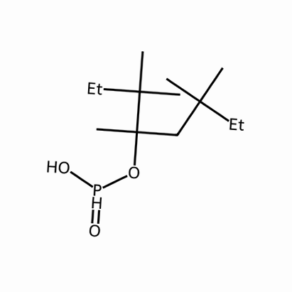 CCC(C)(C)CC(C)(O[PH](=O)O)C(C)(C)CC